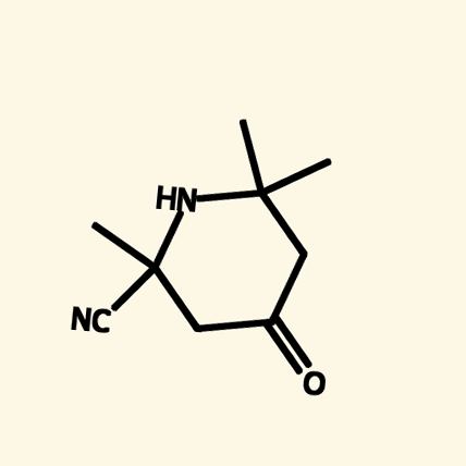 CC1(C)CC(=O)CC(C)(C#N)N1